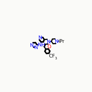 CC(C)N1CCC(N(Cc2cncc(Nc3ccncn3)c2)C(=O)C=Cc2ccc(C(F)(F)F)cc2)CC1